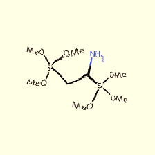 CO[Si](CC(N)[Si](OC)(OC)OC)(OC)OC